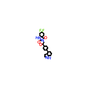 O=C(CN1C(=O)NC2(CCC(F)(F)CC2)C1=O)c1ccc(-c2cccc3[nH]ccc23)cc1